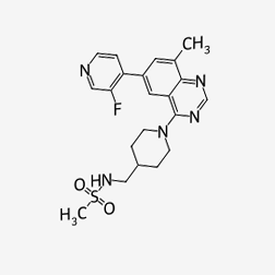 Cc1cc(-c2ccncc2F)cc2c(N3CCC(CNS(C)(=O)=O)CC3)ncnc12